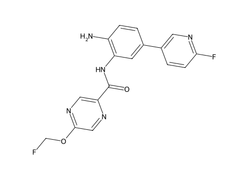 Nc1ccc(-c2ccc(F)nc2)cc1NC(=O)c1cnc(OCF)cn1